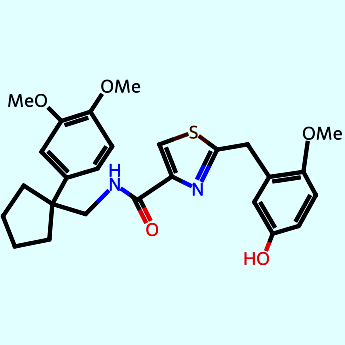 COc1ccc(O)cc1Cc1nc(C(=O)NCC2(c3ccc(OC)c(OC)c3)CCCC2)cs1